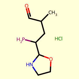 CC(C=O)CC(P)C1NCCO1.Cl